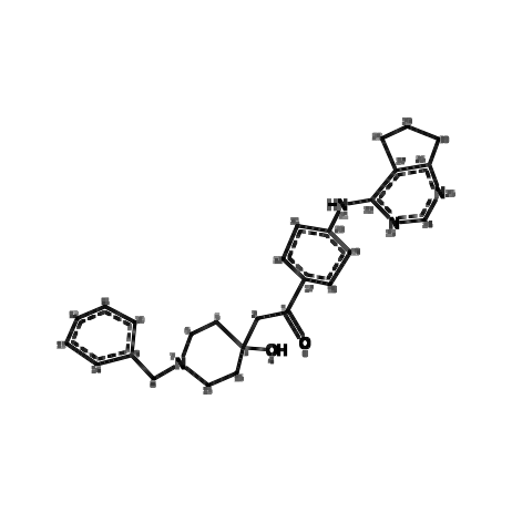 O=C(CC1(O)CCN(Cc2ccccc2)CC1)c1ccc(Nc2ncnc3c2CCC3)cc1